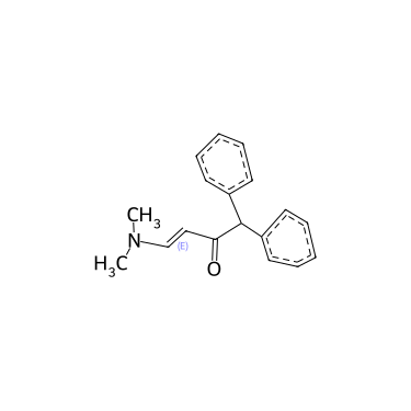 CN(C)/C=C/C(=O)C(c1ccccc1)c1ccccc1